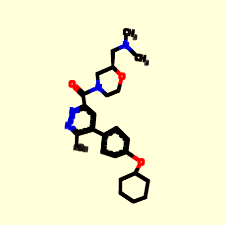 CCCCc1nnc(C(=O)N2CCO[C@H](CN(C)C)C2)cc1-c1ccc(OC2CCCCC2)cc1